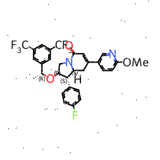 COc1ccc(C2=CC(=O)N3C[C@H](O[C@H](C)c4cc(C(F)(F)F)cc(C(F)(F)F)c4)[C@@H](c4ccc(F)cc4)[C@@H]3C2)cn1